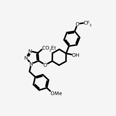 CCOC(=O)c1nnn(Cc2ccc(OC)cc2)c1OC1CCC(O)(c2ccc(OC(F)(F)F)cc2)CC1